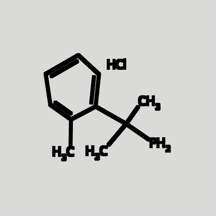 Cc1ccccc1C(C)(C)P.Cl